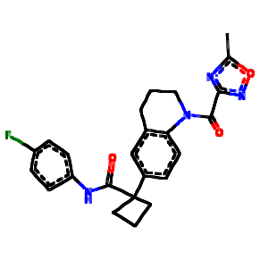 Cc1nc(C(=O)N2CCCc3cc(C4(C(=O)Nc5ccc(F)cc5)CCC4)ccc32)no1